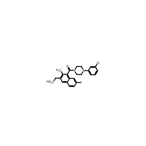 Cc1c(CC(=O)O)cc2ccc(F)cc2c1C(=O)N1CCN(c2cccc(Cl)c2)CC1